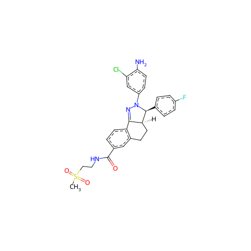 CS(=O)(=O)CCNC(=O)c1ccc2c(c1)CC[C@H]1C2=NN(c2ccc(N)c(Cl)c2)[C@H]1c1ccc(F)cc1